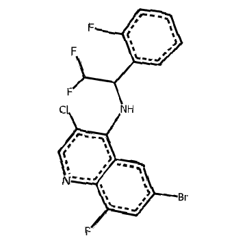 Fc1ccccc1C(Nc1c(Cl)cnc2c(F)cc(Br)cc12)C(F)F